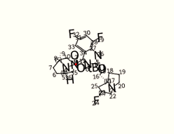 CC(C)(C)OC(=O)N1[C@@H]2CC[C@@]1(C)CN(c1nc(OC[C@]34CCCN3C[C@@H](F)C4)nc3c(F)cc(F)cc13)C2